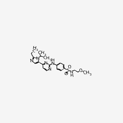 CCc1ncc(-c2ccnc(Nc3ccc(S(=O)(=O)NCCOC)cc3)n2)n1C(C)C